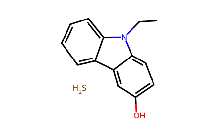 CCn1c2ccccc2c2cc(O)ccc21.S